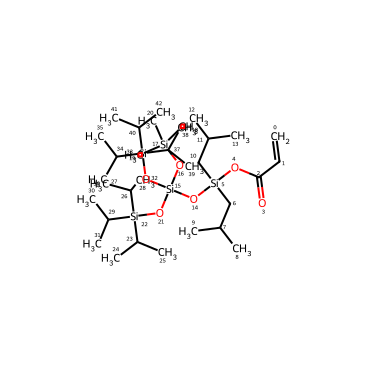 C=CC(=O)O[Si](CC(C)C)(CC(C)C)O[Si](O[Si](C)(C)C)(O[Si](C(C)C)(C(C)C)C(C)C)O[Si](C(C)C)(C(C)C)C(C)C